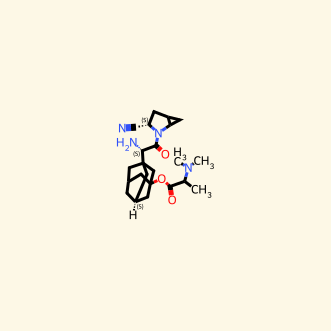 CC(C(=O)OC12CC3C[C@H](C1)CC([C@H](N)C(=O)N1C4CC4C[C@H]1C#N)(C3)C2)N(C)C